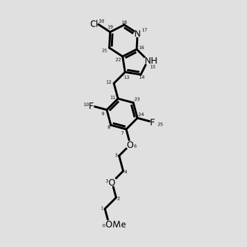 COCCOCCOc1cc(F)c(Cc2c[nH]c3ncc(Cl)cc23)cc1F